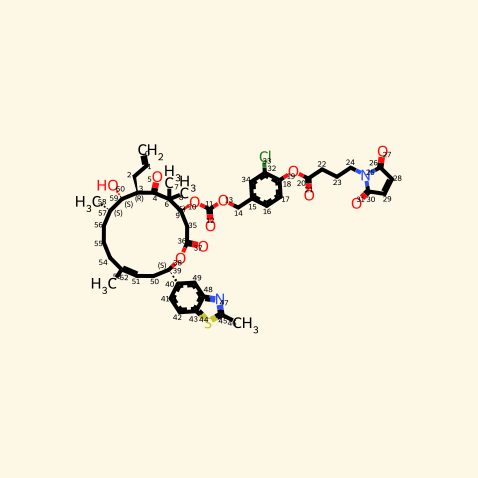 C=CC[C@H]1C(=O)C(C)(C)[C@@H](OC(=O)OCc2ccc(OC(=O)CCCN3C(=O)C=CC3=O)c(Cl)c2)CC(=O)O[C@H](c2ccc3sc(C)nc3c2)CC=C(C)CCC[C@H](C)[C@@H]1O